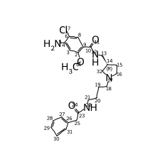 COc1cc(N)c(Cl)cc1C(=O)NC[C@H]1CCN(CCCCNC(=O)Cc2ccccc2)C1